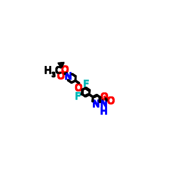 CC1(OC(=O)N2CCC(COc3c(F)cc(-c4cnc5[nH]c(=O)oc5c4)cc3F)CC2)CC1